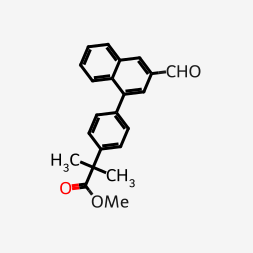 COC(=O)C(C)(C)c1ccc(-c2cc(C=O)cc3ccccc23)cc1